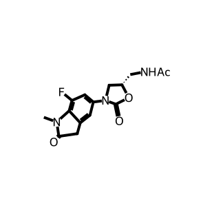 CC(=O)NC[C@H]1CN(c2cc(F)c3c(c2)CC(=O)N3C)C(=O)O1